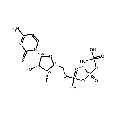 Nc1ccn([C@@H]2O[C@H](COP(=O)(O)OP(=O)(O)OP(=O)(O)O)[C@H](F)[C@@H]2O)c(=S)n1